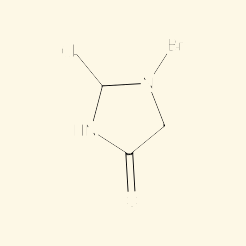 O=C1CN(Br)C(Cl)N1